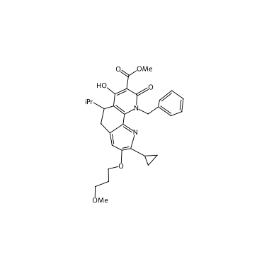 COCCCOc1cc2c(nc1C1CC1)-c1c(c(O)c(C(=O)OC)c(=O)n1Cc1ccccc1)C(C(C)C)C2